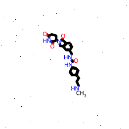 CNCCCc1ccc(NC(=O)NCc2ccc3c(c2)CN(C2CCC(=O)NC2=O)C3=O)cc1